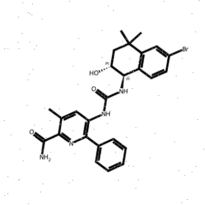 Cc1cc(NC(=O)N[C@@H]2c3ccc(Br)cc3C(C)(C)C[C@H]2O)c(-c2ccccc2)nc1C(N)=O